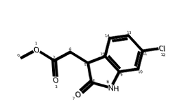 COC(=O)CC1C(=O)Nc2cc(Cl)ccc21